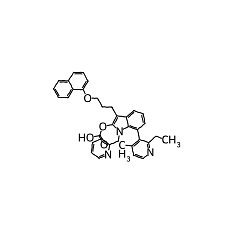 CCc1nccc(C)c1-c1cccc2c(CCCOc3cccc4ccccc34)c(OC(=O)O)n(Cc3ccccn3)c12